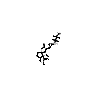 CCC[C@@]1(CCCNNC(C)(C)C(C)(C)O)CCN[C@]1(CC)C(=S)OC